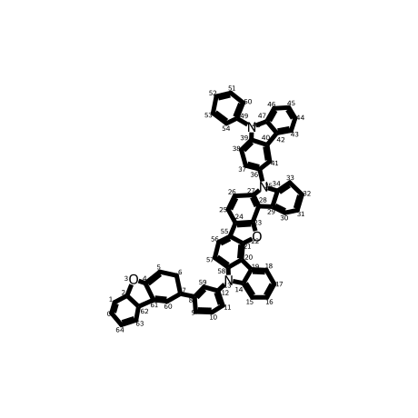 C1=CC2OC3=CCC(c4cccc(-n5c6ccccc6c6c7oc8c(ccc9c8c8ccccc8n9-c8ccc9c(c8)c8ccccc8n9-c8ccccc8)c7ccc65)c4)C=C3C2C=C1